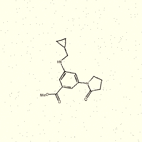 COC(=O)c1cc(NCC2CC2)cc(N2CCCC2=O)c1